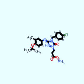 Cc1cc(/N=c2\[nH]n(CCC(=O)ON)c(=O)n2Cc2ccc(Cl)cc2)ccc1OC(C)C